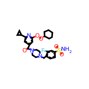 NS(=O)(=O)c1ccc(CN2CCN(C(=O)c3cc(OOC4CCCCC4)nc(C4CC4)c3)CC2)c(F)c1